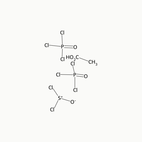 CC(=O)O.O=P(Cl)(Cl)Cl.O=P(Cl)(Cl)Cl.[O-][S+](Cl)Cl